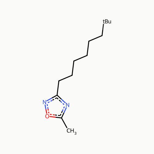 Cc1nc(CCCCCCC(C)(C)C)no1